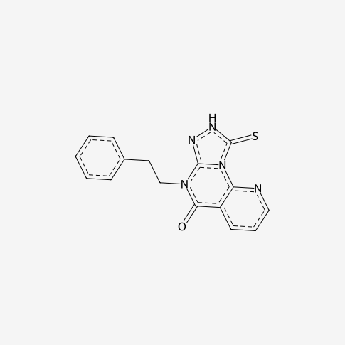 O=c1c2cccnc2n2c(=S)[nH]nc2n1CCc1ccccc1